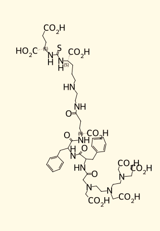 O=C(O)CC[C@H](NC(=S)N[C@@H](CCCNCCNC(=O)CC[C@@H](NC(=O)C(Cc1ccccc1)NC(=O)C(Cc1ccccc1)NC(=O)CN(CCN(CCN(CC(=O)O)CC(=O)O)CC(=O)O)CC(=O)O)C(=O)O)C(=O)O)C(=O)O